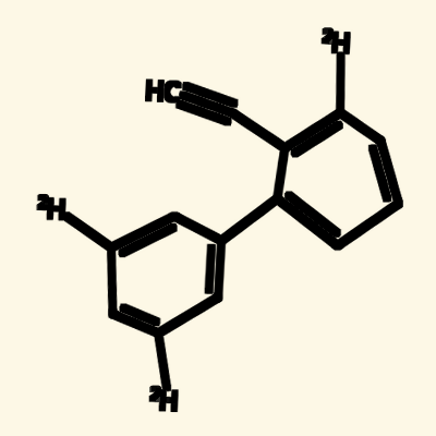 [2H]c1cc([2H])cc(-c2cccc([2H])c2C#C)c1